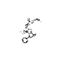 CCOC(=O)[C@@H]1C[C@H]1C1N=C2[C@@H](F)C[C@@H](c3ccccc3)N2N1C